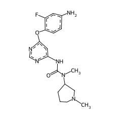 CN1CCCC(N(C)C(=O)Nc2cc(Oc3ccc(N)cc3F)ncn2)C1